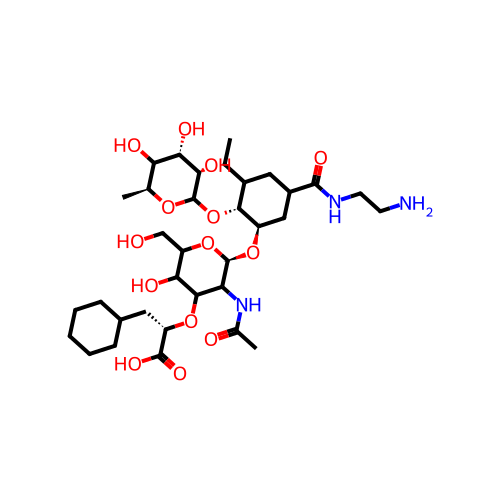 CCC1CC(C(=O)NCCN)C[C@@H](O[C@@H]2OC(CO)C(O)C(O[C@@H](CC3CCCCC3)C(=O)O)C2NC(C)=O)[C@@H]1OC1O[C@@H](C)C(O)[C@H](O)[C@@H]1O